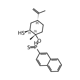 C=C(C)[C@@H]1CC[C@](C)(O[PH](=S)c2ccc3ccccc3c2)[C@@H](S)C1